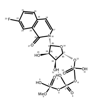 COP(=O)(O)OP(=O)(O)OP(=O)(O)O[C@H]1O[C@@H](n2ccc3ccc(F)cc3c2=O)[C@H](O)[C@@H]1O